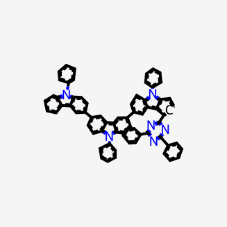 c1ccc(-c2nc(-c3ccccc3)nc(-c3cccc4c3c3cc(-c5ccc6c(c5)c5cc(-c7ccc8c(c7)c7ccccc7n8-c7ccccc7)ccc5n6-c5ccccc5)ccc3n4-c3ccccc3)n2)cc1